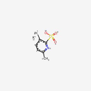 Cc1ccc(C(C)C)c(S(=O)(=O)[O-])n1.[K+]